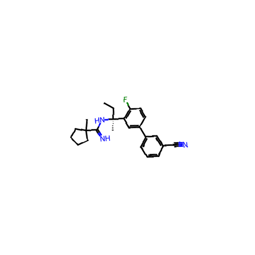 CC[C@](C)(NC(=N)C1(C)CCCC1)c1cc(-c2cccc(C#N)c2)ccc1F